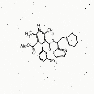 COC(=O)C1=C(C)NC(C)=C(C(=O)OC(CN2CCCCC2)c2nccs2)C1c1cccc([N+](=O)[O-])c1